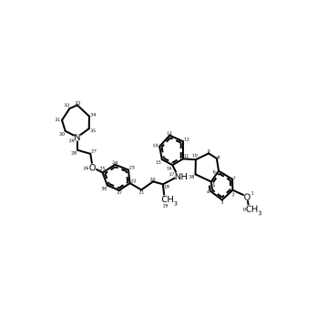 COc1ccc2c(c1)CCC(c1ccccc1NC(C)CCc1ccc(OCCN3CCCCCC3)cc1)C2